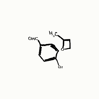 CC1CCO1.O=Cc1ccc(O)cc1